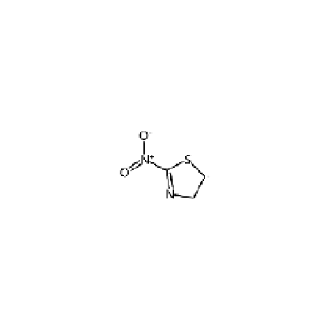 O=[N+]([O-])C1=NC[CH]S1